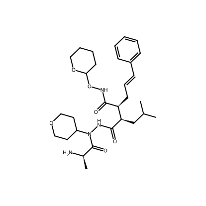 CC(C)C[C@@H](C(=O)NN(C(=O)[C@@H](C)N)C1CCOCC1)[C@H](CC=Cc1ccccc1)C(=O)NOC1CCCCO1